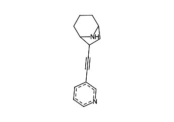 C(#CC1CC2CCCC1N2)c1cccnc1